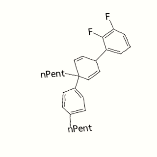 CCCCCc1ccc(C2(CCCCC)C=CC(c3cccc(F)c3F)C=C2)cc1